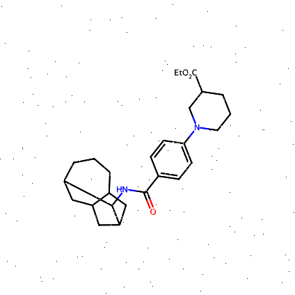 CCOC(=O)C1CCCN(c2ccc(C(=O)NC3C4CCCC5CC3CC5C4)cc2)C1